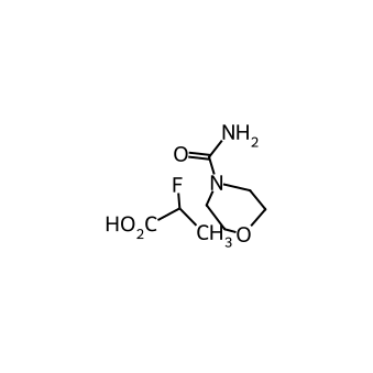 CC(F)C(=O)O.NC(=O)N1CCOCC1